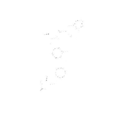 COC(=O)C(Cc1ccc(Oc2ccc(CC3SC(=O)NC3=O)cc2)c(F)c1)NC(=O)C(N)Cc1c[nH]cn1